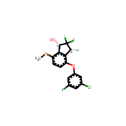 O[C@H]1c2c(SC(F)(F)F)ccc(Oc3cc(F)cc(Cl)c3)c2[C@@H](F)C1(F)F